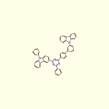 c1ccc(-c2nc(-c3ccc(-c4cccc(-n5c6ccccc6c6ccccc65)c4)cc3)nc(-c3ccc4c(c3)c3ccccc3n4-c3ccccc3)n2)cc1